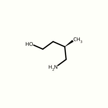 C[C@@H](CN)CCO